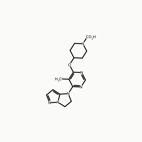 Cc1c(OC2CCN(C(=O)O)CC2)ncnc1N1CCn2nccc21